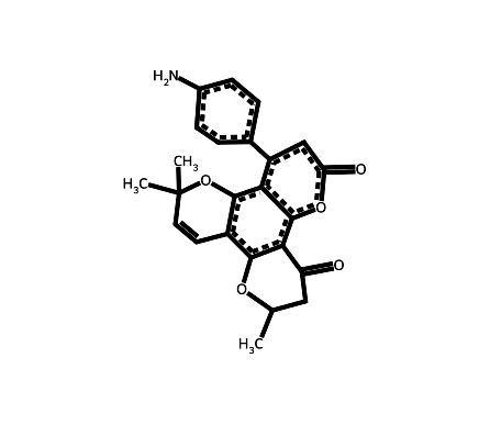 CC1CC(=O)c2c(c3c(c4c(-c5ccc(N)cc5)cc(=O)oc24)OC(C)(C)C=C3)O1